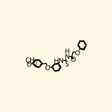 COc1ccc(COc2cccc(NC(=S)NC(=O)COc3ccccc3)c2)cc1